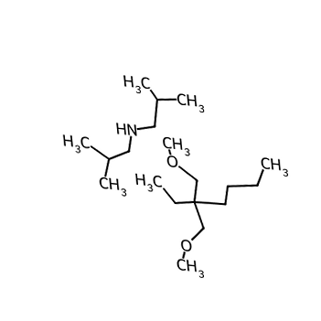 CC(C)CNCC(C)C.CCCCC(CC)(COC)COC